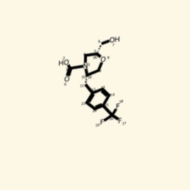 O=C(O)N1C[C@H](CO)OC[C@@H]1Cc1ccc(C(F)(F)F)cc1